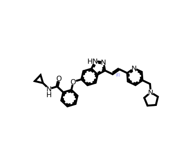 O=C(NC1CC1)c1ccccc1Oc1ccc2c(/C=C/c3ccc(CN4CCCC4)cn3)n[nH]c2c1